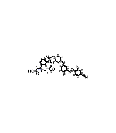 C/C(=C\C(=O)O)c1ccc2nc(CN3CCC(Oc4ccc(F)c(COc5ccc(C#N)cc5F)c4)CC3)n(C[C@@H]3CCO3)c2c1